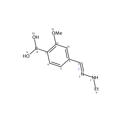 CCN/N=C/c1ccc(B(O)O)c(OC)c1